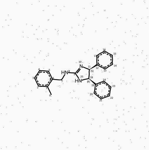 Cc1ccccc1CNC1=N[C@@H](c2ccccc2)[C@@H](c2ccccc2)N1